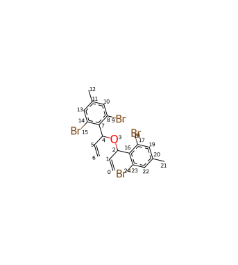 C=CC(OC(C=C)c1c(Br)cc(C)cc1Br)c1c(Br)cc(C)cc1Br